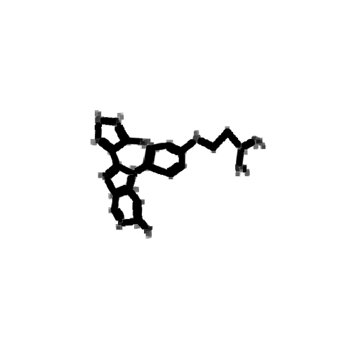 CN(C)CCOc1ccc(-n2c(-c3nonc3N)nc3cnc(Br)cc32)cc1